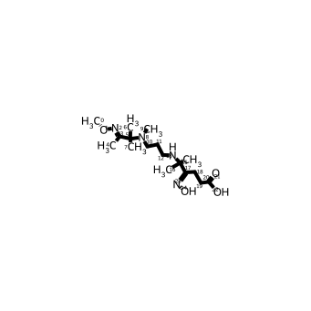 CO/N=C(\C)C(C)(C)N(C)CCCNC(C)(C)/C(CCC(=O)O)=N/O